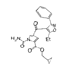 CCc1onc(-c2ccccc2)c1C(=O)c1cc(C(=O)OCC2CC2)n(C(N)=O)c1